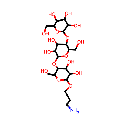 NCCCOC1OC(CO)C(OC2OC(CO)C(OC3OC(CO)C(O)C(O)C3O)C(O)C2O)C(O)C1O